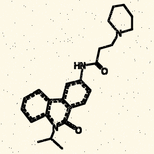 CC(C)n1c(=O)c2ccc(NC(=O)CCN3CCCCC3)cc2c2ccccc21